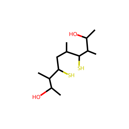 CC(O)C(C)C(S)CC(C)C(S)C(C)C(C)O